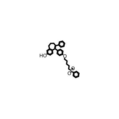 O=S(=O)(CCCCCOc1ccc(C2=C(c3ccccc3)CCCc3cc(O)ccc32)cc1)c1ccccc1